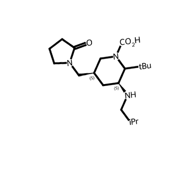 CC(C)CN[C@H]1C[C@@H](CN2CCCC2=O)CN(C(=O)O)C1C(C)(C)C